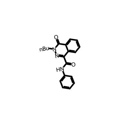 CCCCn1nc(C(=O)Nc2ccccc2)c2ccccc2c1=O